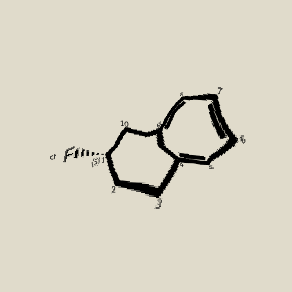 F[C@H]1CCc2ccccc2C1